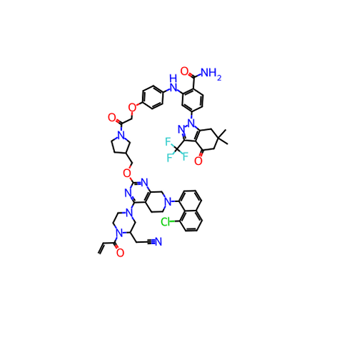 C=CC(=O)N1CCN(c2nc(OCC3CCN(C(=O)COc4ccc(Nc5cc(-n6nc(C(F)(F)F)c7c6CC(C)(C)CC7=O)ccc5C(N)=O)cc4)C3)nc3c2CCN(c2cccc4cccc(Cl)c24)C3)CC1CC#N